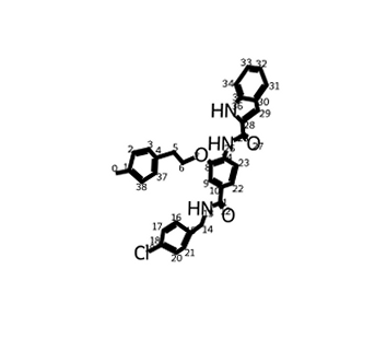 Cc1ccc(CCOc2cc(C(=O)NCc3ccc(Cl)cc3)ccc2NC(=O)c2cc3ccccc3[nH]2)cc1